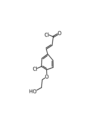 O=C(Cl)C=Cc1ccc(OCCO)c(Cl)c1